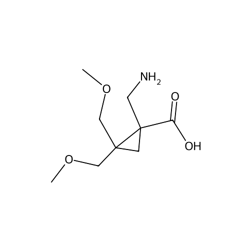 COCC1(COC)CC1(CN)C(=O)O